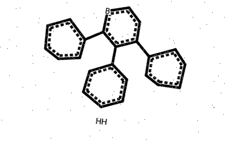 [HH].b1ccc(-c2ccccc2)c(-c2ccccc2)c1-c1ccccc1